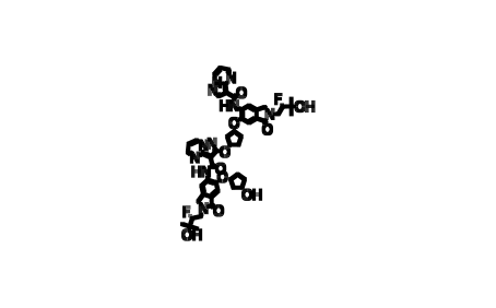 CC(C)(O)[C@H](F)CN1Cc2cc(NC(=O)c3cnn4cccnc34)c(O[C@H]3CC[C@@H](Oc4nn5cccnc5c4C(=O)Nc4cc5c(cc4O[C@@H]4CC[C@H](O)C4)C(=O)N(C[C@@H](F)C(C)(C)O)C5)C3)cc2C1=O